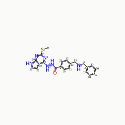 CSc1nc(NNC(=O)c2ccc(CNCc3ccccc3)cc2)c2cc[nH]c2n1